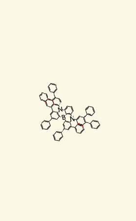 c1ccc(-c2cc3c(c(-c4ccccc4)c2)N(c2ccc(-c4ccccc4)c(-c4ccccc4)c2)c2cccc4c2B3c2cc(-c3ccccc3)cc(-c3ccccc3)c2N4c2ccc(-c3ccccc3)c(-c3ccccc3)c2)cc1